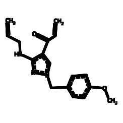 C=CCNc1nn(Cc2ccc(OC)cc2)cc1C(=O)C=C